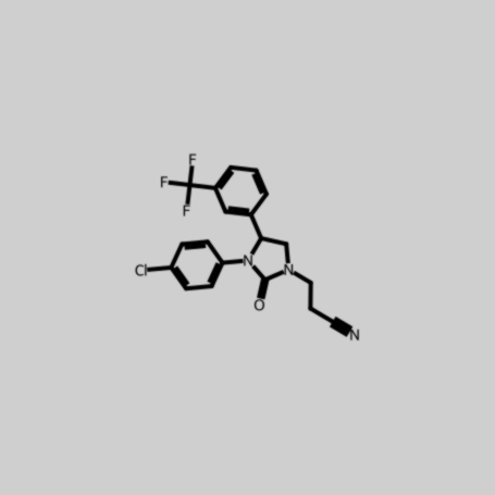 N#CCCN1CC(c2cccc(C(F)(F)F)c2)N(c2ccc(Cl)cc2)C1=O